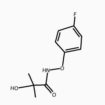 CC(C)(O)C(=O)NOc1ccc(F)cc1